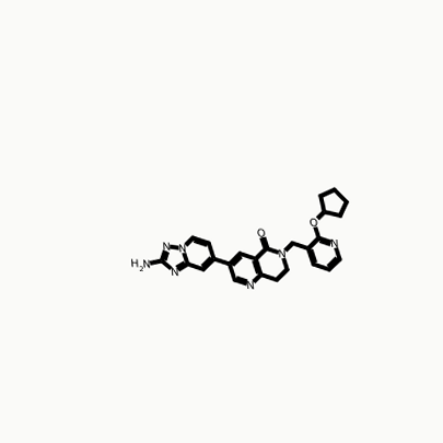 Nc1nc2cc(-c3cnc4c(c3)C(=O)N(Cc3cccnc3OC3CCCC3)CC4)ccn2n1